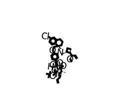 C=CCN(C(=O)OC(C)(C)C)[C@@H](C)C(=O)NS(=O)(=O)c1ccc2c(c1)N(C[C@@H]1CC[C@H]1[C@@H](C=C)OC)C[C@@]1(CCCc3cc(Cl)ccc31)CO2